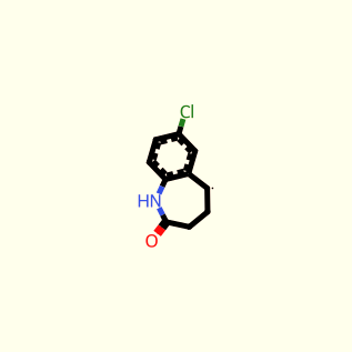 O=C1CC[CH]c2cc(Cl)ccc2N1